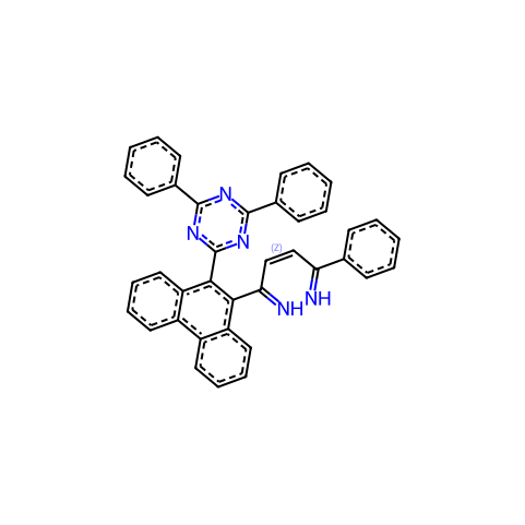 N=C(/C=C\C(=N)c1c(-c2nc(-c3ccccc3)nc(-c3ccccc3)n2)c2ccccc2c2ccccc12)c1ccccc1